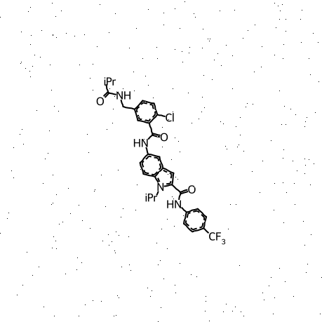 CC(C)C(=O)NCc1ccc(Cl)c(C(=O)Nc2ccc3c(c2)cc(C(=O)Nc2ccc(C(F)(F)F)cc2)n3C(C)C)c1